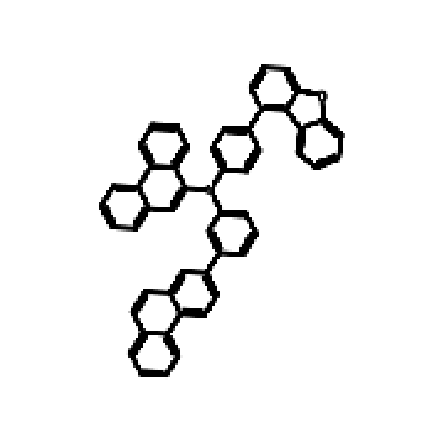 c1cc(-c2ccc3c(ccc4ccccc43)c2)cc(N(c2ccc(-c3cccc4oc5ccccc5c34)cc2)c2cc3ccccc3c3ccccc23)c1